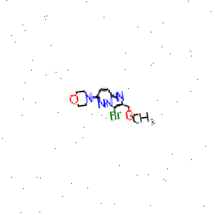 COCc1nc2ccc(N3CCOCC3)nn2c1Br